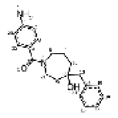 Nc1ccc(C(=O)N2CCCC(O)(Cc3ccccc3)CC2)cc1